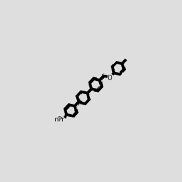 CCCC1C=CC(C2CCC(C3CCC(COC4CCC(C)CC4)CC3)CC2)CC1